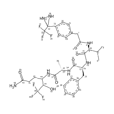 CC(C)[C@H](NC(=O)Cc1ccc(C2(C(F)(F)F)NN2)cc1)C(=O)N[C@@H](Cc1ccccc1)C(=O)N[C@@H](C)C(=O)NC(CCC(N)=O)C(O)C(F)(F)F